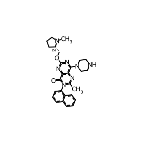 Cc1nc2c(N3CCNCC3)nc(OC[C@@H]3CCCN3C)nc2c(=O)n1-c1cccc2ccccc12